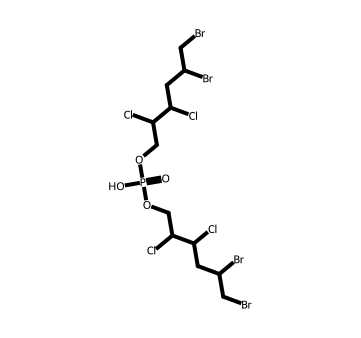 O=P(O)(OCC(Cl)C(Cl)CC(Br)CBr)OCC(Cl)C(Cl)CC(Br)CBr